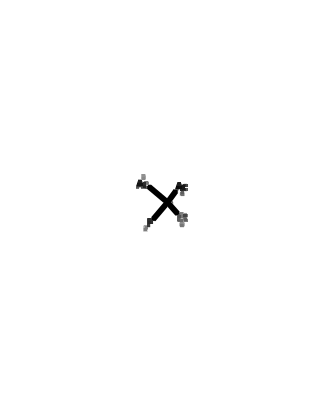 CCC(F)(C(C)=O)C(C)=O